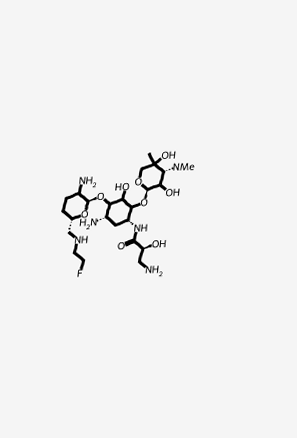 CN[C@@H]1C(O)[C@@H](OC2C(O)C(O[C@H]3O[C@H](CNCCF)CCC3N)[C@@H](N)C[C@H]2NC(=O)[C@@H](O)CN)OCC1(C)O